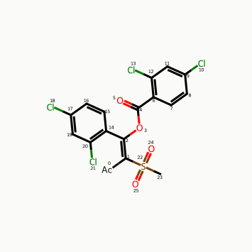 CC(=O)C(=C(OC(=O)c1ccc(Cl)cc1Cl)c1ccc(Cl)cc1Cl)S(C)(=O)=O